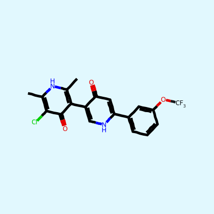 Cc1[nH]c(C)c(-c2c[nH]c(-c3cccc(OC(F)(F)F)c3)cc2=O)c(=O)c1Cl